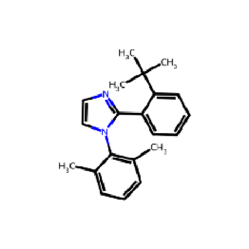 Cc1cccc(C)c1-n1ccnc1-c1ccccc1C(C)(C)C